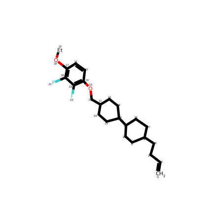 C=CCCC1CCC(C2CCC(COc3ccc(OCC)c(F)c3F)CC2)CC1